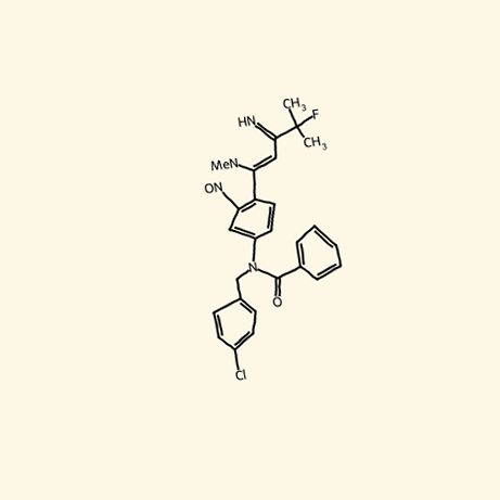 CN/C(=C\C(=N)C(C)(C)F)c1ccc(N(Cc2ccc(Cl)cc2)C(=O)c2ccccc2)cc1N=O